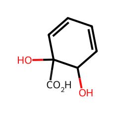 O=C(O)C1(O)C=CC=CC1O